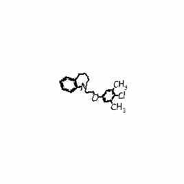 Cc1cc(OCCN2CCCc3ccccc32)cc(C)c1Cl